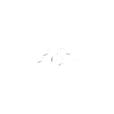 C=NN1/C(=N\CBr)CCC1C(=C)/C(C)=C\C=C/C